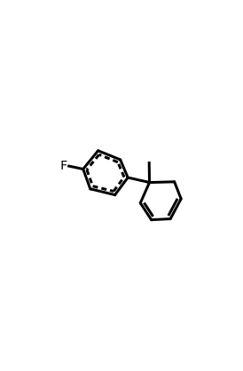 CC1(c2ccc(F)cc2)C=CC=CC1